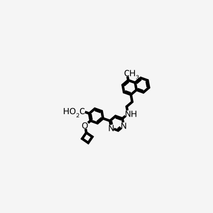 Cc1ccc(CCNc2cc(-c3ccc(C(=O)O)c(OC4CCC4)c3)ncn2)c2ccccc12